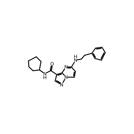 O=C(NC1CCCCC1)c1cnn2ccc(NCCc3ccccc3)nc12